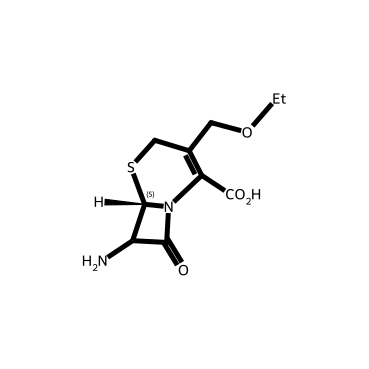 CCOCC1=C(C(=O)O)N2C(=O)C(N)[C@@H]2SC1